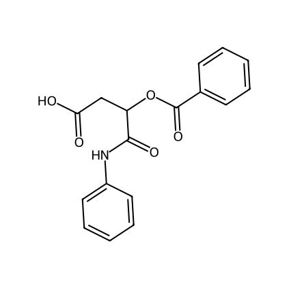 O=C(O)CC(OC(=O)c1ccccc1)C(=O)Nc1ccccc1